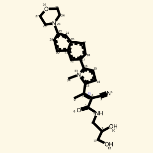 C/C(=C(/C#N)C(=O)NCC(O)CO)c1ccc(-c2ccc3cc(N4CCOCC4)ccc3c2)n1C